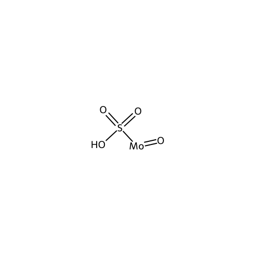 [O]=[Mo][S](=O)(=O)O